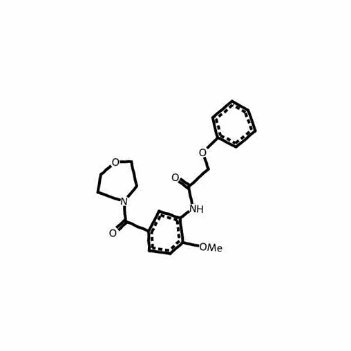 COc1ccc(C(=O)N2CCOCC2)cc1NC(=O)COc1ccccc1